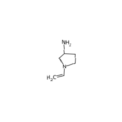 C=CN1CCC(N)C1